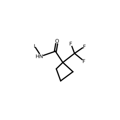 O=C(NI)C1(C(F)(F)F)CCC1